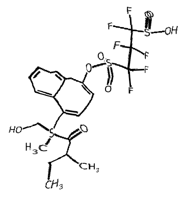 CCC(C)C(=O)S(C)(CO)c1ccc(OS(=O)(=O)C(F)(F)C(F)(F)C(F)(F)S(=O)(=O)O)c2ccccc12